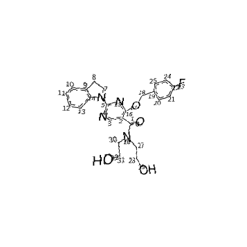 O=C(c1cnc(N2CCc3ccccc32)nc1OCc1ccc(F)cc1)N(CCO)CCO